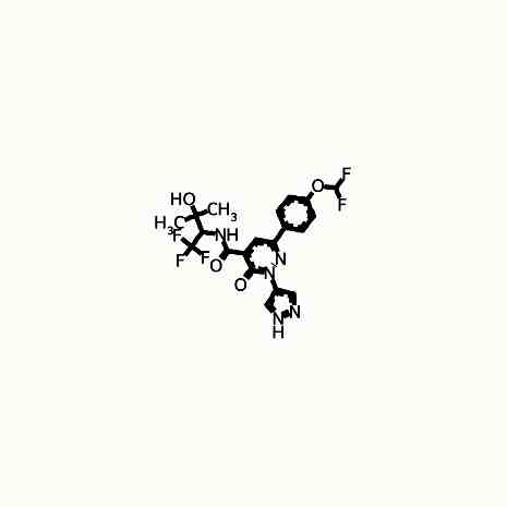 CC(C)(O)C(NC(=O)c1cc(-c2ccc(OC(F)F)cc2)nn(-c2cn[nH]c2)c1=O)C(F)(F)F